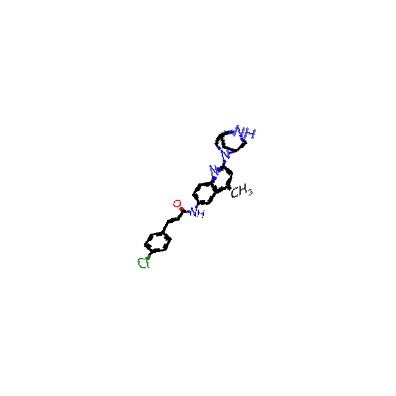 Cc1cc(N2CC3CC2CN3)nc2ccc(NC(=O)C=Cc3ccc(Cl)cc3)cc12